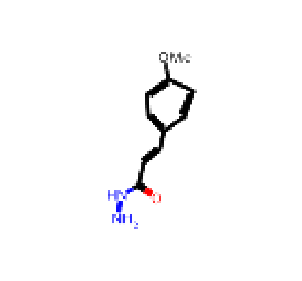 COc1ccc(C=CC(=O)NN)cc1